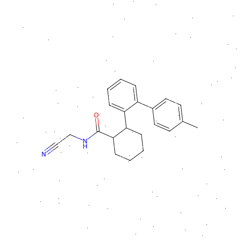 Cc1ccc(-c2ccccc2C2CCCCC2C(=O)NCC#N)cc1